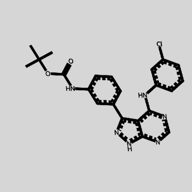 CC(C)(C)OC(=O)Nc1cccc(-c2n[nH]c3ncnc(Nc4cccc(Cl)c4)c23)c1